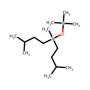 CC(C)CC[Si](C)(CCC(C)C)O[Si](C)(C)C